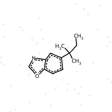 CCC(C)(C)c1ccc2ocnc2c1